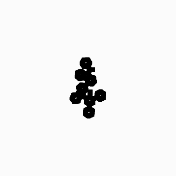 CC(C1=CCCC=C1)C1c2ccccc2-c2c(-c3ccc4c5c(n(C6=CC(C7=CCCC=C7)=CC(c7ccccc7)N6)c4c3)CCC=C5)cccc21